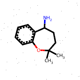 CC1(C)CCC(N)c2ccccc2O1